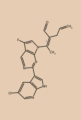 C=CC/C(C=O)=C(\C)n1cc(F)c2cnc(-c3c[nH]c4ncc(Cl)cc34)nc21